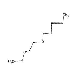 CC=CCCOCCOCC